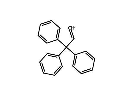 [CH]=CC(c1ccccc1)(c1ccccc1)c1ccccc1